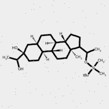 CC(O[Si](C)(C)C(C)(C)C)C1CC[C@H]2[C@@H]3CC[C@@H]4C[C@@](O)(C(C)O)CC[C@@H]4[C@H]3CC[C@]12C